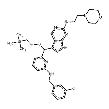 C[Si](C)(C)CCOC(c1cccc(NCc2cccc(Cl)c2)n1)c1n[nH]c2nc(NCCN3CCOCC3)ncc12